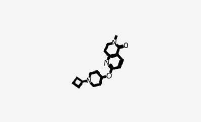 CN1CCc2nc(OC3CCN(C4CCC4)CC3)ccc2C1=O